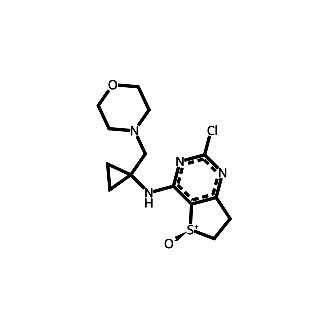 [O-][S@+]1CCc2nc(Cl)nc(NC3(CN4CCOCC4)CC3)c21